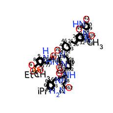 CCOP(C)(=O)C(=O)c1ccc2[nH]c(C(=O)N[C@H]3CN(C(=O)[C@H]4CC[C@@H](CCc5ccc6c(c5)n(C)c(=O)n6C5CCC(=O)NC5=O)CC4)CC[C@H]4CC[C@@H](C(=O)N[C@@H](CCC(N)=O)C(=O)NCc5ccc(C(C)C)cc5)N4C3=O)cc2c1